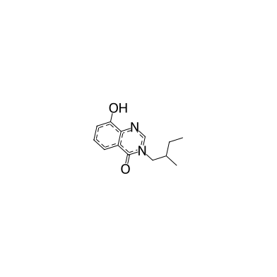 CCC(C)Cn1cnc2c(O)cccc2c1=O